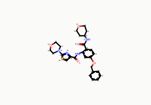 O=C(Nc1cc(OCc2ccccc2)ccc1C(=O)NC1CCOCC1)c1csc(N2CCOCC2)n1